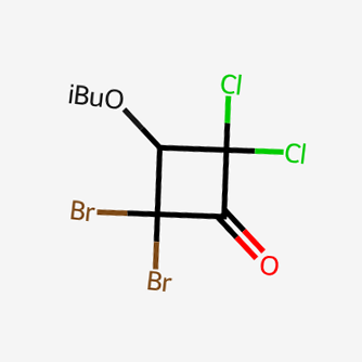 CC(C)COC1C(Cl)(Cl)C(=O)C1(Br)Br